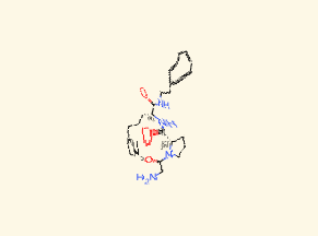 CCCC[C@@H](NC(=O)[C@@H]1CCCN1C(=O)CN)C(=O)NCCc1ccccc1